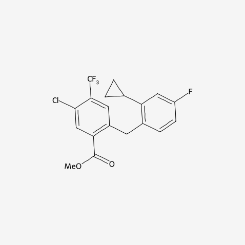 COC(=O)c1cc(Cl)c(C(F)(F)F)cc1Cc1ccc(F)cc1C1CC1